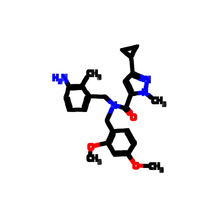 COc1ccc(CN(Cc2cccc(N)c2C)C(=O)c2cc(C3CC3)nn2C)c(OC)c1